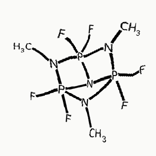 CN1P2(F)(F)N(C)P3(F)(F)N(C)P1(F)(F)N23